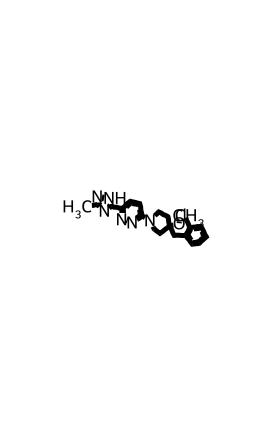 COC1(Cc2ccccc2Cl)CCN(c2ccc(-c3nc(C)n[nH]3)nn2)CC1